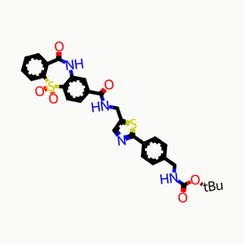 CC(C)(C)OC(=O)NCc1ccc(-c2ncc(CNC(=O)c3ccc4c(c3)NC(=O)c3ccccc3S4(=O)=O)s2)cc1